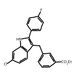 CCOC(=O)c1cccc(Cc2c(-c3ccc(F)cc3)[nH]c3cc(Cl)ccc23)c1